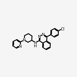 Clc1ccc(-c2nnc(NC3CCCN(c4ccccn4)C3)c3ccccc23)cc1